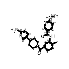 Cc1ccc(C(=O)N2CCC(c3ccc(N)nc3)CC2)cc1NC(=O)c1ccc(NC(C)C)nc1